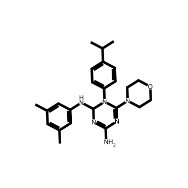 Cc1cc(C)cc(NC2N=C(N)N=C(N3CCOCC3)N2c2ccc(C(C)C)cc2)c1